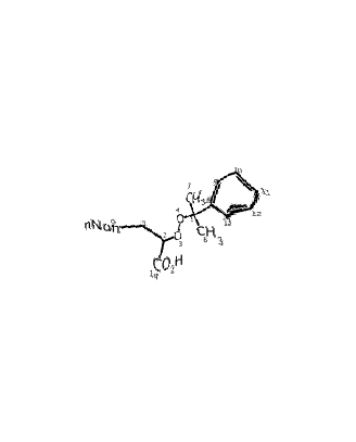 CCCCCCCCCCC(OOC(C)(C)c1ccccc1)C(=O)O